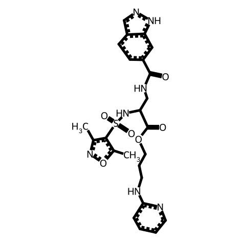 Cc1noc(C)c1S(=O)(=O)NC(CNC(=O)c1ccc2cn[nH]c2c1)C(=O)OCCCNc1ccccn1